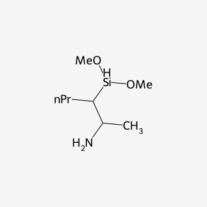 CCCC(C(C)N)[SiH](OC)OC